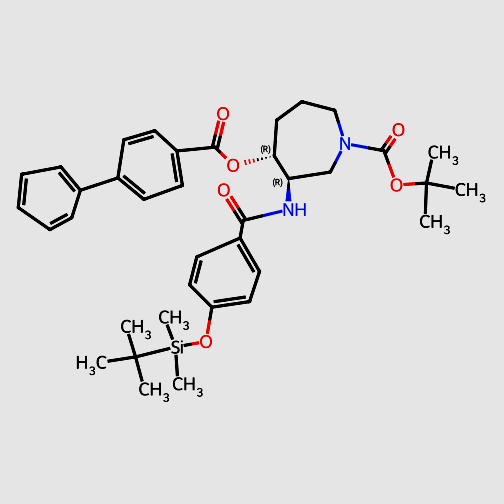 CC(C)(C)OC(=O)N1CCC[C@@H](OC(=O)c2ccc(-c3ccccc3)cc2)[C@H](NC(=O)c2ccc(O[Si](C)(C)C(C)(C)C)cc2)C1